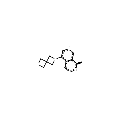 O=c1[nH]ncc2c(N3CC4(COC4)C3)cncc12